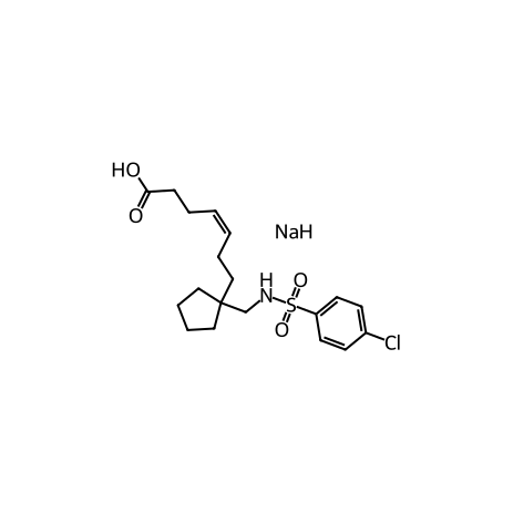 O=C(O)CC/C=C\CCC1(CNS(=O)(=O)c2ccc(Cl)cc2)CCCC1.[NaH]